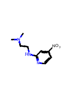 CN(C)CCNc1cc([N+](=O)[O-])ccn1